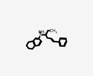 CCC(CC=Cc1ccccc1)N(N)c1ccc2c(c1)CCCC2